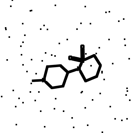 CN1CCC(N2CCCCS2(=O)=O)CC1